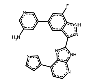 Nc1cncc(-c2cc(F)c3[nH]nc(-c4nc5c(-c6ccsc6)ccnc5[nH]4)c3c2)c1